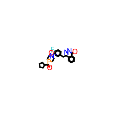 O=C1N=NC(Cc2ccc(F)c([N+]3([O-])CCP(C(=O)C4CCCC4)CC3)c2)c2ccccc21